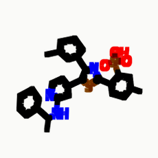 Cc1cccc(-c2nc(-c3ccc(C)cc3S(=O)(=O)O)sc2-c2ccnc(NC(C)c3ccccc3)c2)c1